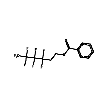 O=C(OCCC(F)(F)C(F)(F)C(F)(F)C(F)(F)F)c1ccccc1